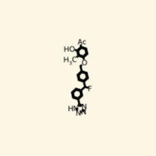 CC(=O)c1ccc(OCc2ccc(C(F)c3cccc(-c4nnn[nH]4)c3)cc2)c(C)c1O